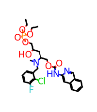 CCOP(=O)(OCC)OC[C@H](O)C[C@@H](COC(=O)Nc1cc2ccccc2cn1)N(C)Cc1cccc(F)c1Cl